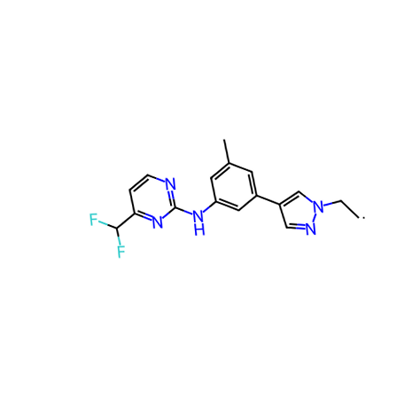 [CH2]Cn1cc(-c2cc(C)cc(Nc3nccc(C(F)F)n3)c2)cn1